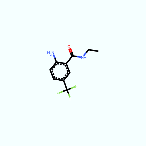 CCNC(=O)c1cc(C(F)(F)F)ccc1N